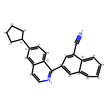 N#Cc1cc(-c2nccc3cc(C4CCCC4)ccc23)cc2ccccc12